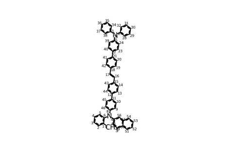 Cc1ccccc1N(c1ccc(-c2ccc(/C=C/c3ccc(-c4ccc(N(c5ccccc5)c5ccccc5)cc4)cc3)cc2)cc1)c1ccc2ccccc2c1